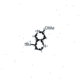 COc1cc2nccc(C(C)(C)C)c2cn1